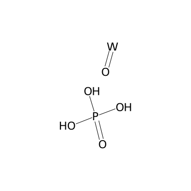 O=P(O)(O)O.[O]=[W]